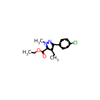 CCOC(=O)c1c(CC)c(-c2ccc(Cl)cc2)nn1C